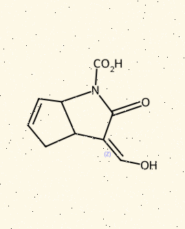 O=C(O)N1C(=O)/C(=C\O)C2CC=CC21